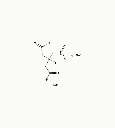 O=C([O-])C[N+]([O-])(C[PH](=O)[O-])C[PH](=O)[O-].[Na+].[Na+].[Na+]